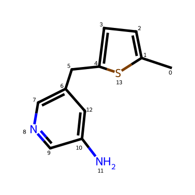 Cc1ccc(Cc2cncc(N)c2)s1